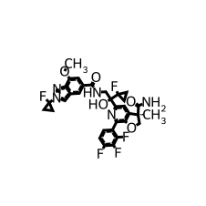 COc1cc(C(=O)NCC(O)(c2cc3c(c(-c4ccc(F)c(F)c4F)n2)OC[C@]3(C)C(N)=O)C2(F)CC2)cc2cn(C3(F)CC3)nc12